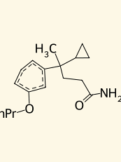 CCCOc1cccc(C(C)(CCC(N)=O)C2CC2)c1